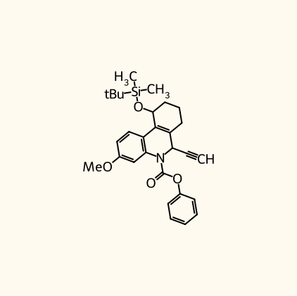 C#CC1C2=C(c3ccc(OC)cc3N1C(=O)Oc1ccccc1)C(O[Si](C)(C)C(C)(C)C)CCC2